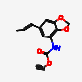 C/C=C/c1cc(NC(=O)OC(C)(C)C)c2c(c1)OCO2